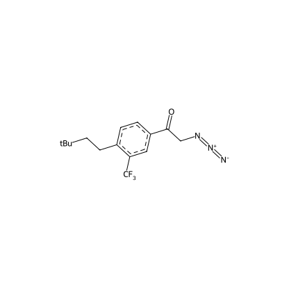 CC(C)(C)CCc1ccc(C(=O)CN=[N+]=[N-])cc1C(F)(F)F